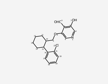 O=Cc1c(O)cncc1OCC1CCCCC1c1ccccc1Cl